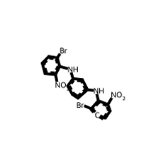 O=[N+]([O-])c1cccc(Br)c1Nc1cccc(Nc2c(Br)cccc2[N+](=O)[O-])c1